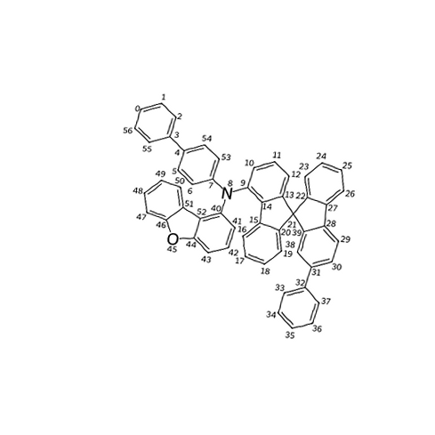 c1ccc(-c2ccc(N(c3cccc4c3-c3ccccc3C43c4ccccc4-c4ccc(-c5ccccc5)cc43)c3cccc4oc5ccccc5c34)cc2)cc1